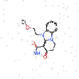 CCOCCN1C2=C(C(N)=O)C(=O)CCN2c2ccccc21